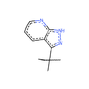 CC(C)(C)c1n[nH]c2ncccc12